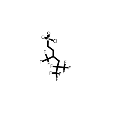 O=S(=O)(Cl)CCC(CC(F)(C(F)(F)F)C(F)(F)F)C(F)(F)F